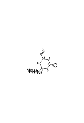 C=CC1CC(=O)CC(N=[N+]=[N-])C1